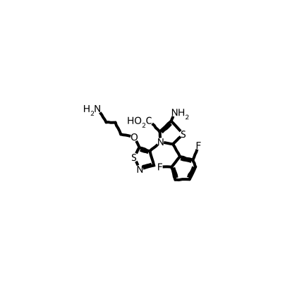 NCCCOc1sncc1N1C(C(=O)O)=C(N)SC1c1c(F)cccc1F